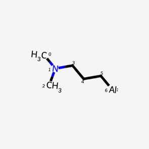 CN(C)CC[CH2][Al]